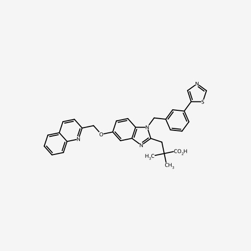 CC(C)(Cc1nc2cc(OCc3ccc4ccccc4n3)ccc2n1Cc1cccc(-c2cncs2)c1)C(=O)O